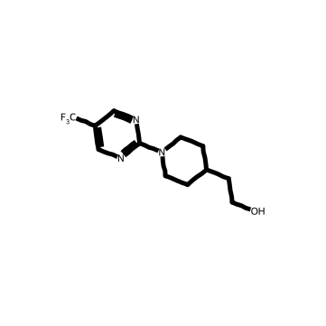 OCCC1CCN(c2ncc(C(F)(F)F)cn2)CC1